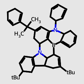 CC(C)(C)C1=CC2B3C4=CC=CCC4N(C4C=CC=CC4)C4=C3C(CC(C(C)(C)C3=CCCC=C3)=C4)N3C4=C(CC(C(C)(C)C)C=C4)C(C1)C23